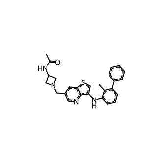 CC(=O)NC1CN(Cc2cnc3c(Nc4cccc(-c5ccccc5)c4C)csc3c2)C1